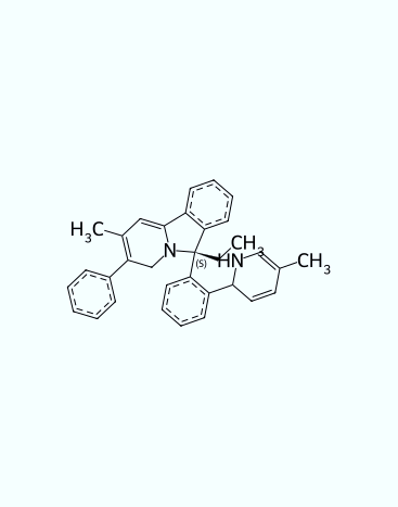 CC[C@]1(c2ccccc2C2C=CC(C)=CN2)c2ccccc2C2=CC(C)=C(c3ccccc3)CN21